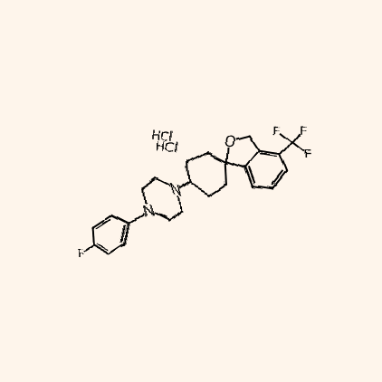 Cl.Cl.Fc1ccc(N2CCN(C3CCC4(CC3)OCc3c(C(F)(F)F)cccc34)CC2)cc1